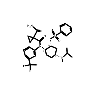 CC(C)N(C)[C@@H]1CC[C@H](N(C(=O)C2(C(N)=O)CC2)c2cccc(C(F)(F)F)c2)[C@H](CS(=O)(=O)c2ccccc2)C1